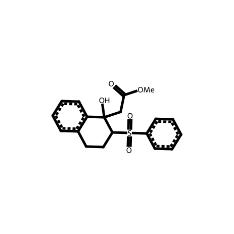 COC(=O)CC1(O)c2ccccc2CCC1S(=O)(=O)c1ccccc1